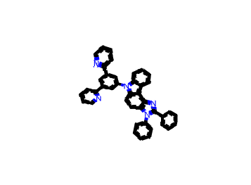 c1ccc(-c2nc3c4c5ccccc5n(-c5cc(-c6ccccn6)cc(-c6ccccn6)c5)c4ccc3n2-c2ccccc2)cc1